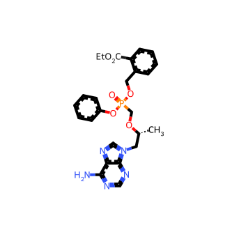 CCOC(=O)c1ccccc1COP(=O)(CO[C@H](C)Cn1cnc2c(N)ncnc21)Oc1ccccc1